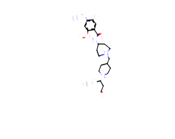 COc1cc(N)c(Cl)cc1C(=O)NC1CCN(CC2CCN(C(C)CC=O)CC2)CC1